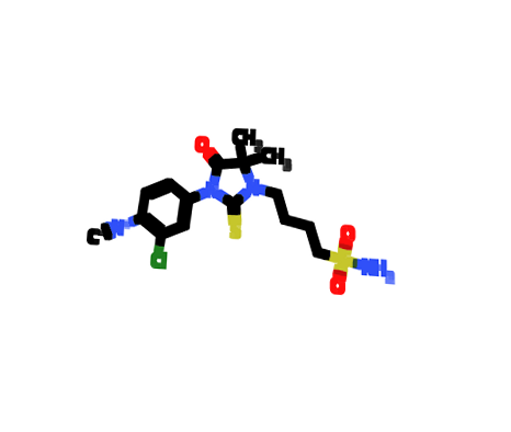 [C-]#[N+]c1ccc(N2C(=O)C(C)(C)N(CCCCS(N)(=O)=O)C2=S)cc1Cl